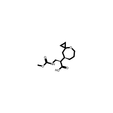 COC(=O)NC[C@H](C(=O)O)[C@@H]1CCCOC2(CC2)C1